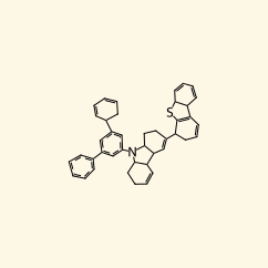 C1=CCC(c2cc(-c3ccccc3)cc(N3C4CCC=CC4C4C=C(C5CC=CC6=C5SC5C=CC=CC65)CCC43)c2)C=C1